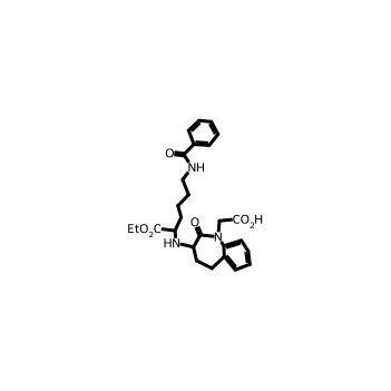 CCOC(=O)C(CCCCNC(=O)c1ccccc1)NC1CCc2ccccc2N(CC(=O)O)C1=O